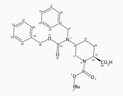 CC(C)(C)OC(=O)N1CC(N(Cc2ccccc2)C(=O)OCc2ccccc2)CC[C@H]1C(=O)O